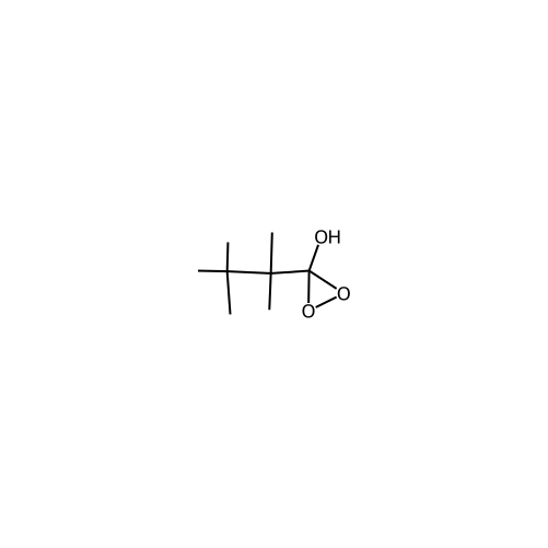 CC(C)(C)C(C)(C)C1(O)OO1